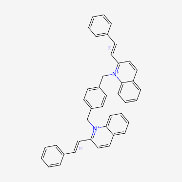 C(=C\c1ccc2ccccc2[n+]1Cc1ccc(C[n+]2c(/C=C/c3ccccc3)ccc3ccccc32)cc1)/c1ccccc1